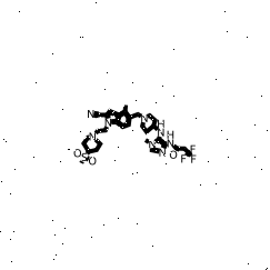 Cc1c(CN2CCC(Nc3c(NC(=O)CC(F)(F)F)ncn3C)CC2)ccc2c1cc(C#N)n2CCN1CCC(S(C)(=O)=O)CC1